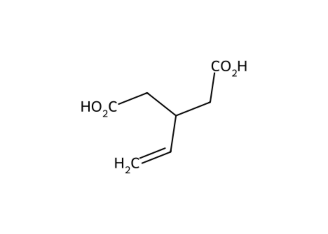 C=CC(CC(=O)O)CC(=O)O